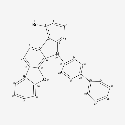 Brc1cccc2c1c1ccc3c4ccccc4oc3c1n2-c1ccc(-c2ccccc2)cc1